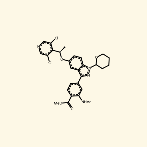 COC(=O)c1ccc(-c2nn(C3CCCCO3)c3ccc(O[C@H](C)c4c(Cl)cncc4Cl)cc23)cc1NC(C)=O